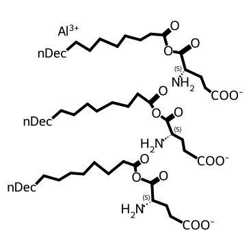 CCCCCCCCCCCCCCCCCC(=O)OC(=O)[C@@H](N)CCC(=O)[O-].CCCCCCCCCCCCCCCCCC(=O)OC(=O)[C@@H](N)CCC(=O)[O-].CCCCCCCCCCCCCCCCCC(=O)OC(=O)[C@@H](N)CCC(=O)[O-].[Al+3]